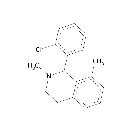 Cc1cccc2c1C(c1ccccc1Cl)N(C)CC2